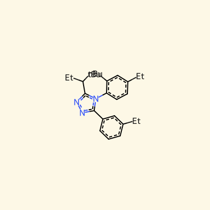 CCCCC(CC)c1nnc(-c2cccc(CC)c2)n1-c1ccc(CC)cc1C(C)(C)C